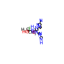 CC(C)(O)[C@H](F)CNC(=O)c1cnc(-c2ccc3cc(C#N)cnn23)cc1Nc1cnn(C2CCNC2)c1